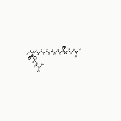 CCC(CCCCCCCCCCC(=O)OCCCC(C)C)C(=O)OCCCC(C)C